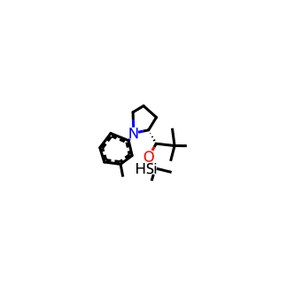 Cc1cccc(N2CCC[C@@H]2C(O[SiH](C)C)C(C)(C)C)c1